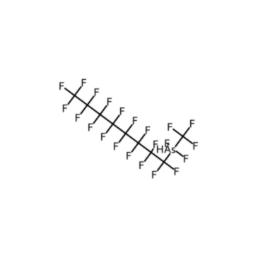 FC(F)(F)C(F)(F)C(F)(F)C(F)(F)C(F)(F)C(F)(F)C(F)(F)C(F)(F)[AsH](F)(F)C(F)(F)F